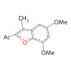 COc1cc(OC)c2oc(C(C)=O)c(C)c2c1